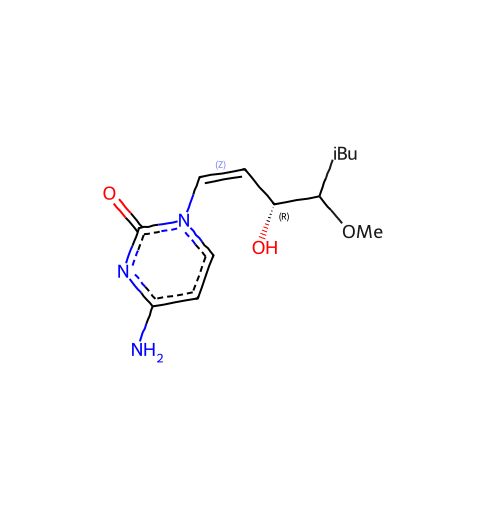 CCC(C)C(OC)[C@H](O)/C=C\n1ccc(N)nc1=O